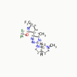 Cc1nc(N2CC[C@@H]3CCN(C)C[C@@H]32)nnc1-c1ccc(C(F)(F)F)nc1OC(F)F